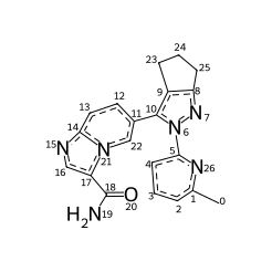 Cc1cccc(-n2nc3c(c2-c2ccc4ncc(C(N)=O)n4c2)CCC3)n1